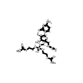 CC(C)(C)C(=O)SCCOP(=O)(OCCSC(=O)C(C)(C)C)OC[C@@]1(CN=[N+]=[N-])O[C@@H](n2ccc(N)nc2=O)[C@H](F)[C@@H]1O